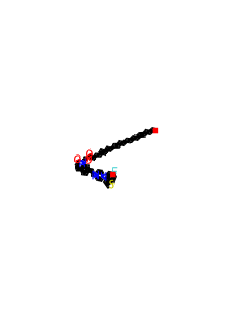 CCCCCCCCCCCCCCCCCCCCCC(=O)OCN1C(=O)CCc2ccc(CCN3CCN(c4cc(F)cc5sccc45)CC3)cc21